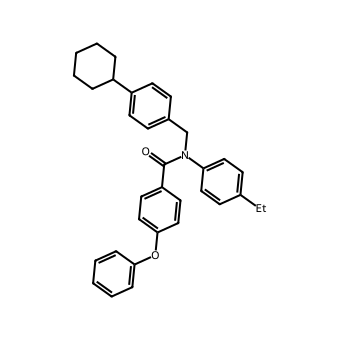 CCc1ccc(N(Cc2ccc(C3CCCCC3)cc2)C(=O)c2ccc(Oc3ccccc3)cc2)cc1